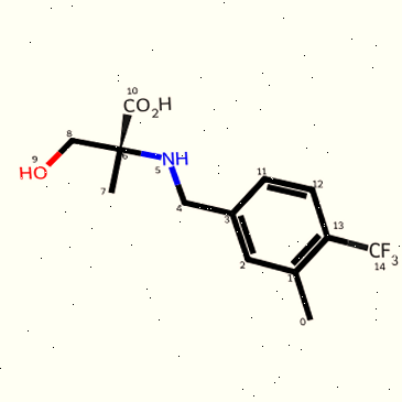 Cc1cc(CN[C@](C)(CO)C(=O)O)ccc1C(F)(F)F